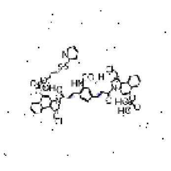 O=C(O)Nc1cc(/C=C/C(=O)N2C[C@@H](CCl)c3c2cc(OP(=O)(O)O)c2ccccc32)ccc1/C=C/C(=O)N1C[C@@H](CCl)c2c1cc(OP(=O)(O)OCCCSSc1ccccn1)c1ccccc21